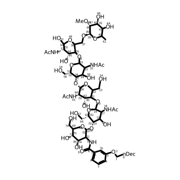 CCCCCCCCCCCOc1cccc(C(=O)NC2[C@H](O[C@H]3C(O)C(NC(C)=O)C(OC4C(CO)O[C@@H](O[C@H]5C(O)C(NC(C)=O)C(OC6C(CO[C@@H]7OC(C)C(O)[C@H](O)[C@H]7OC)OC(O)[C@@H](NC(C)=O)[C@H]6O)O[C@H]5CO)[C@@H](NC(C)=O)[C@H]4O)O[C@H]3CO)OC(CO)[C@@H](O)[C@@H]2O)c1